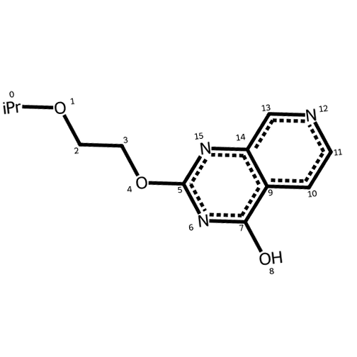 CC(C)OCCOc1nc(O)c2ccncc2n1